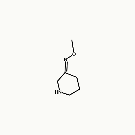 CON=C1CCCNC1